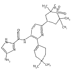 CC1(C)CC=C(c2nc(C3CC(C)(C)S(=O)(=O)C(C)(C)C3)ccc2NC(=O)c2nc(N)c[nH]2)CC1